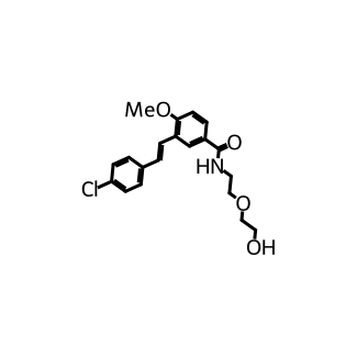 COc1ccc(C(=O)NCCOCCO)cc1C=Cc1ccc(Cl)cc1